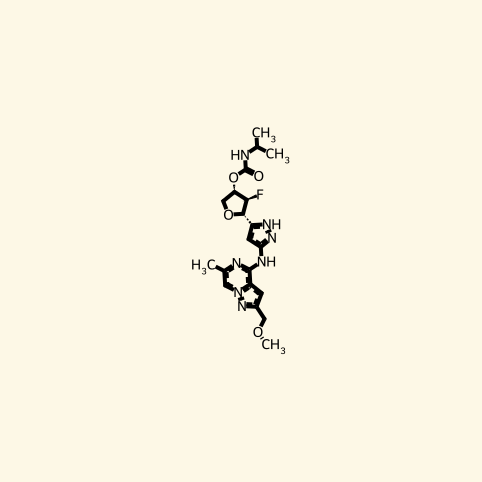 COCc1cc2c(Nc3cc([C@@H]4OC[C@H](OC(=O)NC(C)C)[C@H]4F)[nH]n3)nc(C)cn2n1